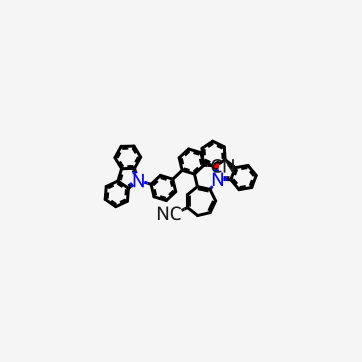 N#CC1=CC(c2c(C#N)cccc2-c2cccc(-n3c4ccccc4c4ccccc43)c2)=C(n2c3ccccc3c3ccccc32)C=CC1